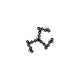 c1ccc2c(c1)oc1cc(-c3ccc4c5ccccc5n(-c5ccc(-c6ccc(-c7nc(-c8ccc(-c9ccc(-n%10c%11ccccc%11c%11ccc(-c%12ccc%13c(c%12)oc%12ccccc%12%13)cc%11%10)cc9)cc8)nc(-c8ccc(-c9ccc(-n%10c%11ccccc%11c%11ccc(-c%12ccc%13c(c%12)oc%12ccccc%12%13)cc%11%10)cc9)cc8)n7)cc6)cc5)c4c3)ccc12